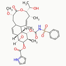 CO[C@H]1CC2C=C[C@H]3[C@H]4O[C@]2(/C(C)=C/[C@@H](C)[C@@H](C(C)O)OC1=O)[C@@H]3[C@H](OC(=O)NS(=O)(=O)c1ccccc1)[C@@H](C)[C@H]4OC(=O)c1ccc[nH]1